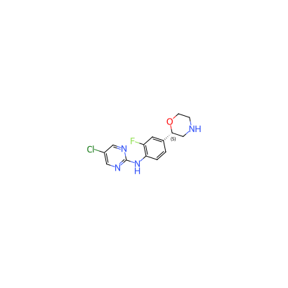 Fc1cc([C@H]2CNCCO2)ccc1Nc1ncc(Cl)cn1